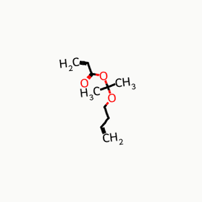 C=CCCOC(C)(C)OC(=O)C=C